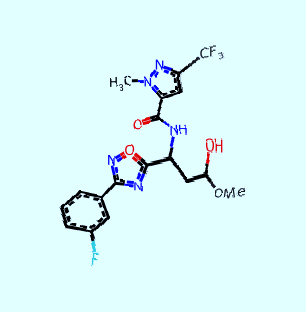 COC(O)CC(NC(=O)c1cc(C(F)(F)F)nn1C)c1nc(-c2cccc(F)c2)no1